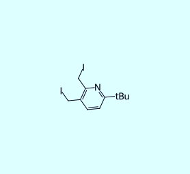 CC(C)(C)c1ccc(CI)c(CI)n1